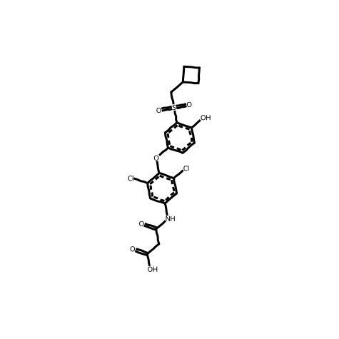 O=C(O)CC(=O)Nc1cc(Cl)c(Oc2ccc(O)c(S(=O)(=O)CC3CCC3)c2)c(Cl)c1